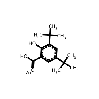 CC(C)(C)c1cc(C(=O)O)c(O)c(C(C)(C)C)c1.[Zn]